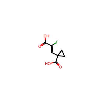 O=C(O)C(F)=CC1(C(=O)O)CC1